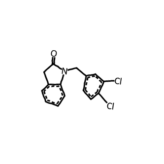 O=C1Cc2ccccc2N1Cc1ccc(Cl)c(Cl)c1